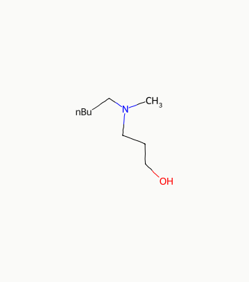 CCCCCN(C)CCCO